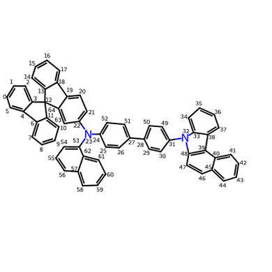 c1ccc2c(c1)-c1ccccc1C21c2ccccc2-c2ccc(N(c3ccc(-c4ccc(-n5c6ccccc6c6c7ccccc7ccc65)cc4)cc3)c3cccc4ccccc34)cc21